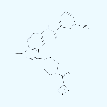 Cn1cc(C2CCN(C(=O)C34CC(C3)C4)CC2)c2cc(NC(=O)c3cc(C#N)ccn3)ccc21